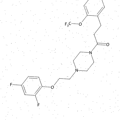 O=C(CCc1ccccc1OC(F)(F)F)N1CCN(CCOc2ccc(F)cc2F)CC1